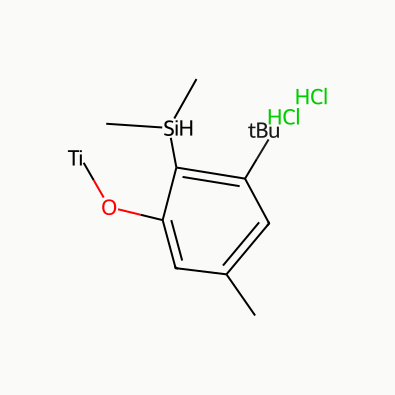 Cc1cc([O][Ti])c([SiH](C)C)c(C(C)(C)C)c1.Cl.Cl